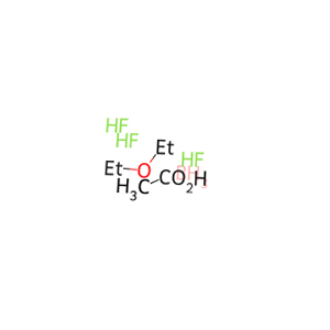 B.CC(=O)O.CCOCC.F.F.F